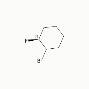 F[C@H]1CCCCC1Br